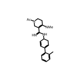 CNC1=C(C(=N)NC2C=CC(c3ccccc3C)=CC2)CN(C(C)=O)CC1